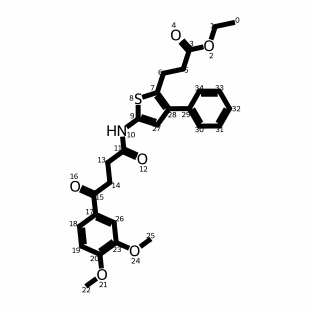 CCOC(=O)CCc1sc(NC(=O)CCC(=O)c2ccc(OC)c(OC)c2)cc1-c1ccccc1